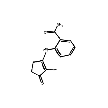 CC1=C(Nc2ccccc2C(N)=O)CCC1=O